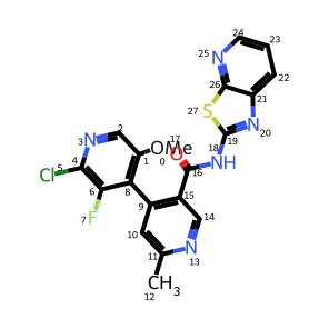 COc1cnc(Cl)c(F)c1-c1cc(C)ncc1C(=O)Nc1nc2cccnc2s1